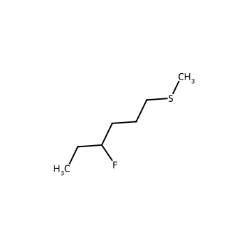 CCC(F)CCCSC